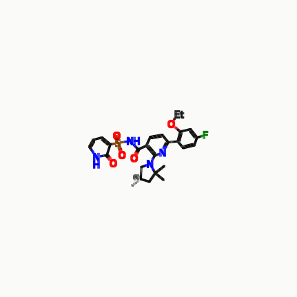 CCOc1cc(F)ccc1-c1ccc(C(=O)NS(=O)(=O)c2ccc[nH]c2=O)c(N2C[C@@H](C)CC2(C)C)n1